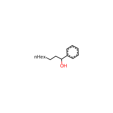 [CH2]CCCCCCCC(O)c1ccccc1